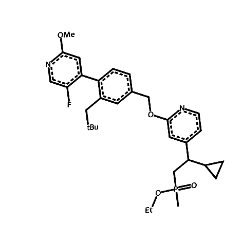 CCOP(C)(=O)CC(c1ccnc(OCc2ccc(-c3cc(OC)ncc3F)c(CC(C)(C)C)c2)c1)C1CC1